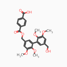 COc1cc(CO)cc(-c2cc(COC(=O)c3ccc(C(=O)O)cc3)cc(OC)c2OC)c1OC